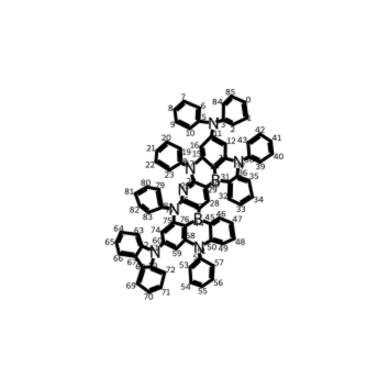 c1ccc(N(c2ccccc2)c2cc3c4c(c2)N(c2ccccc2)c2nc5c(cc2B4c2ccccc2N3c2ccccc2)B2c3ccccc3N(c3ccccc3)c3cc(-n4c6ccccc6c6ccccc64)cc(c32)N5c2ccccc2)cc1